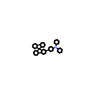 c1ccc(N(c2ccccc2)c2ccc(-c3ccc4c(c3)C3(c5ccccc5-c5ccccc53)c3ccccc3-4)cc2)cc1